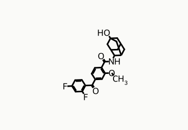 COc1cc(C(=O)c2ccc(F)cc2F)ccc1C(=O)NC1C2CC3CC1CC(O)(C3)C2